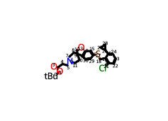 CC(C)(C)OC(=O)CCN1CCC2(CC1)COc1cc(SCc3c(Cl)cccc3C3CC3)ccc12